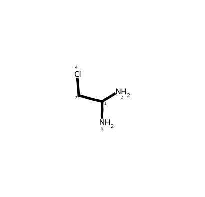 NC(N)CCl